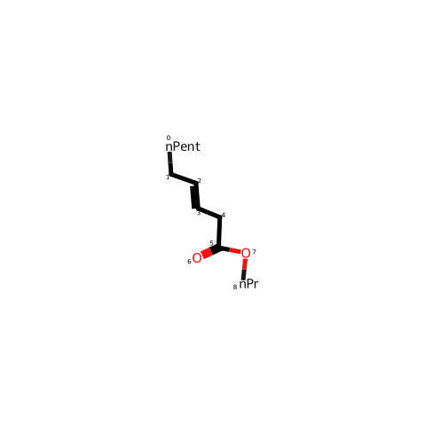 CCCCCC/C=C/CC(=O)OCCC